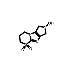 O=S1(=O)CCCn2c1nc1c2CN(O)C1